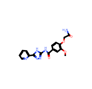 COc1cc(C(=O)Nc2nnc(-c3ccccn3)[nH]2)ccc1OCC(N)=O